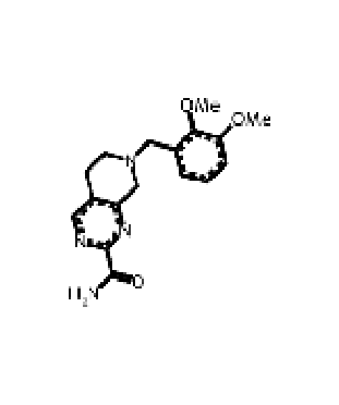 COc1cccc(CN2CCc3[c]nc(C(N)=O)nc3C2)c1OC